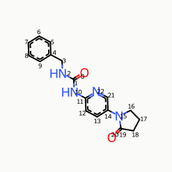 O=C(NCc1ccccc1)Nc1ccc(N2CCCC2=O)cn1